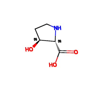 O=C(O)[C@H]1NCC[C@@H]1O